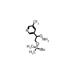 CC(C)(C)[Si](C)(C)OCC(ON)c1cncc(C(F)(F)F)c1